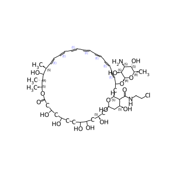 C[C@@H]1OC(=O)CC(O)CC(O)CCC(O)C(O)C[C@H](O)CC2(O)C[C@H](O)C(C(=O)NCCCl)[C@H](CC(O[C@@H]3O[C@H](C)[C@@H](O)[C@H](N)[C@@H]3O)/C=C/C=C/C=C/C=C/C=C/C=C/C=C/[C@H](C)C(O)[C@H]1C)O2